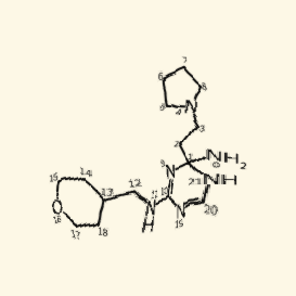 NC1(CCN2CCCC2)N=C(NCC2CCOCC2)N=CN1